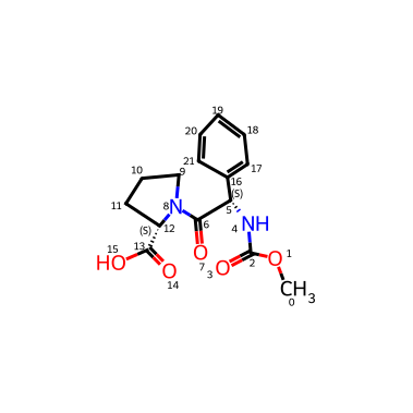 COC(=O)N[C@H](C(=O)N1CCC[C@H]1C(=O)O)c1ccccc1